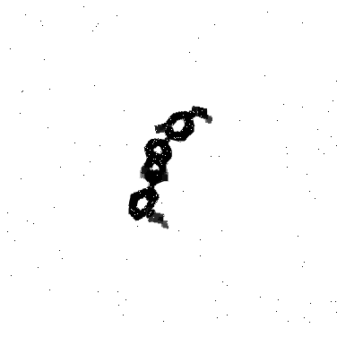 C[C@H]1CC[C@H](c2ccc3sc([C@H]4CCCN(C)C4)nc3c2)NC1